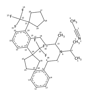 CC#N.CC(C)N(CCc1ccccc1)C(C)CCc1c(C2(C(F)(F)F)CCCC2)cccc1C1(C(F)(F)F)CCCC1